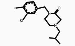 C[C](C)CN1CCN(Cc2ccc(F)c(Cl)c2)C(=O)C1